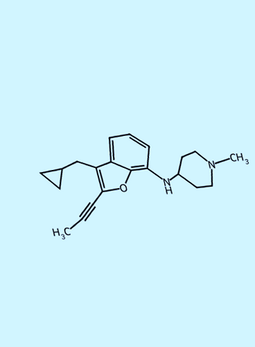 CC#Cc1oc2c(NC3CCN(C)CC3)cccc2c1CC1CC1